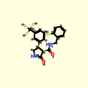 O=C(NCc1ccccc1F)[C@@H]1C(=O)NC[C@@H]1c1cccc(C(F)(F)F)c1